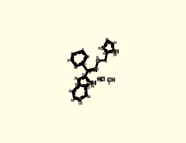 Cl.Cl.c1ccc(/C(=N\OCc2ncc[nH]2)c2cc3ccncc3[nH]2)cc1